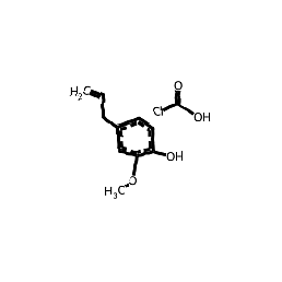 C=CCc1ccc(O)c(OC)c1.O=C(O)Cl